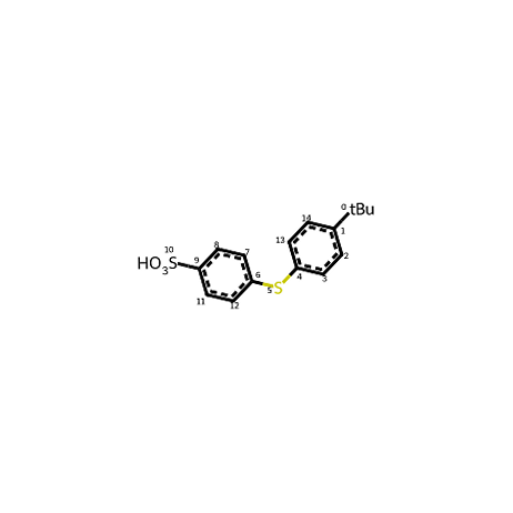 CC(C)(C)c1ccc(Sc2ccc(S(=O)(=O)O)cc2)cc1